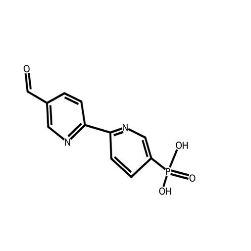 O=Cc1ccc(-c2ccc(P(=O)(O)O)cn2)nc1